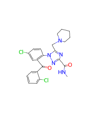 CNC(=O)c1nc(CN2CCCCC2)n(-c2ccc(Cl)cc2C(=O)c2ccccc2Cl)n1